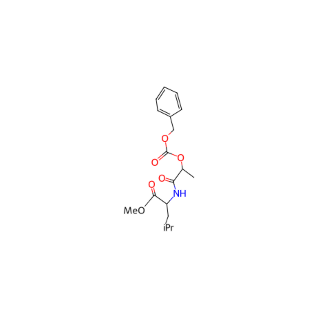 COC(=O)C(CC(C)C)NC(=O)C(C)OC(=O)OCc1ccccc1